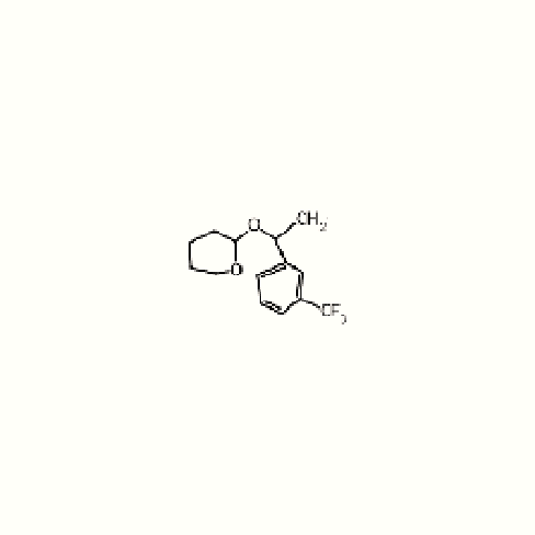 [CH2]C(OC1CCCCO1)c1cccc(C(F)(F)F)c1